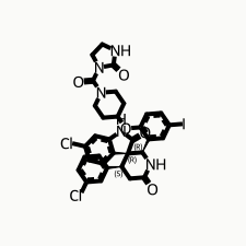 O=C1C[C@@H](c2cccc(Cl)c2)[C@]2(C(=O)Nc3cc(Cl)ccc32)[C@@H](c2cc(I)ccc2OC2CCN(C(=O)N3CCNC3=O)CC2)N1